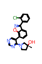 C[C@@]1(O)CCN(c2ncncc2-c2cccc3c(-c4ccccc4Cl)noc23)C1